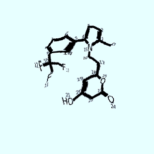 Cc1ccc(-c2cccc(C(F)(F)F)c2)n1CCC1C=C(O)CC(=O)O1